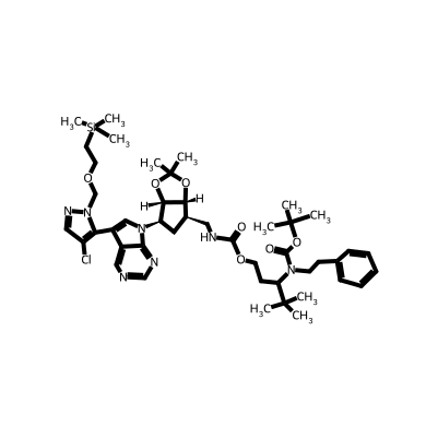 CC(C)(C)OC(=O)N(CCc1ccccc1)C(CCOC(=O)NC[C@H]1C[C@@H](n2cc(-c3c(Cl)cnn3COCC[Si](C)(C)C)c3cncnc32)[C@@H]2OC(C)(C)O[C@H]12)C(C)(C)C